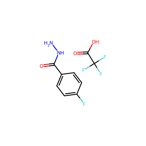 NNC(=O)c1ccc(F)cc1.O=C(O)C(F)(F)F